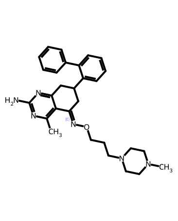 Cc1nc(N)nc2c1/C(=N/OCCCN1CCN(C)CC1)CC(c1ccccc1-c1ccccc1)C2